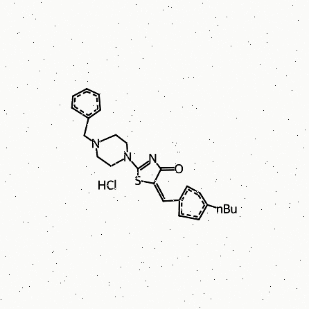 CCCCc1ccc(C=C2SC(N3CCN(Cc4ccccc4)CC3)=NC2=O)cc1.Cl